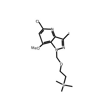 COc1cc(Cl)nc2c(I)nn(COCC[Si](C)(C)C)c12